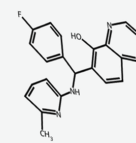 Cc1cccc(NC(c2ccc(F)cc2)c2ccc3cccnc3c2O)n1